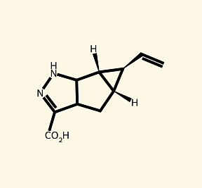 C=C[C@H]1[C@@H]2CC3C(C(=O)O)=NNC3[C@H]12